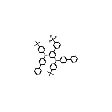 CC(C)(C)c1ccc(N(c2ccc(-c3ccccc3)cc2)c2cc(-c3cccc(C(F)(F)F)c3)cc(N(c3ccc(-c4ccccc4)cc3)c3ccc(C(C)(C)C)cc3)c2)cc1